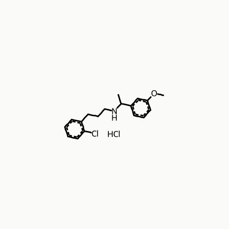 COc1cccc(C(C)NCCCc2ccccc2Cl)c1.Cl